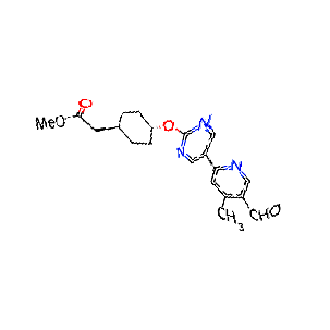 COC(=O)C[C@H]1CC[C@H](Oc2ncc(-c3cc(C)c(C=O)cn3)cn2)CC1